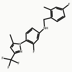 Cc1cc(F)ccc1CNc1ccc(-n2nc(C(F)(F)F)cc2C)c(F)c1